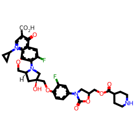 O=C(O)c1cn(C2CC2)c2c3c(c(F)cc2c1=O)N1C[C@](O)(COc2ccc(N4CC(COC(=O)C5CCNCC5)OC4=O)cc2F)C[C@H]1CO3